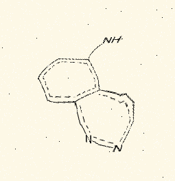 [NH]c1cccc2nnccc12